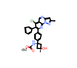 Cc1cc2ncc3c(Cl)c(-c4ccccc4)c(-c4ccc([C@]5(NC(=O)OC(C)(C)C)C[C@](C)(O)C5)cc4)nc3n2n1